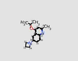 Cc1cc(OC(C)C)c2cc(N3CCC3)ccc2n1